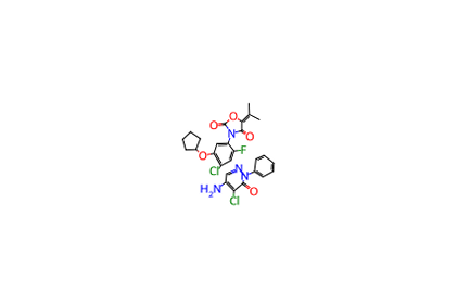 CC(C)=C1OC(=O)N(c2cc(OC3CCCC3)c(Cl)cc2F)C1=O.Nc1cnn(-c2ccccc2)c(=O)c1Cl